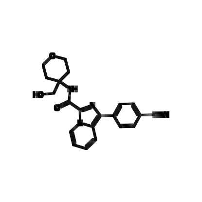 N#Cc1ccc(-c2nc(C(=O)NC3(CO)CCOCC3)n3ccccc23)cc1